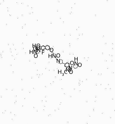 Cn1c(=O)n([C@H]2CCC(=O)NC2=O)c2ccc(C3CCN(CC(=O)NCCOc4ccc5cc(O)c(N6CC(=O)NS6(=O)=O)c(F)c5c4)CC3)cc21